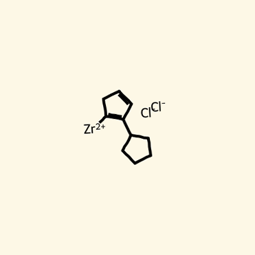 [Cl-].[Cl-].[Zr+2][C]1=C(C2CCCC2)C=CC1